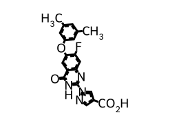 Cc1cc(C)cc(Oc2cc3c(=O)[nH]c(-n4cc(C(=O)O)cn4)nc3cc2F)c1